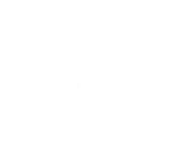 CC1COCC(C)O[Si](C)(CCl)O1